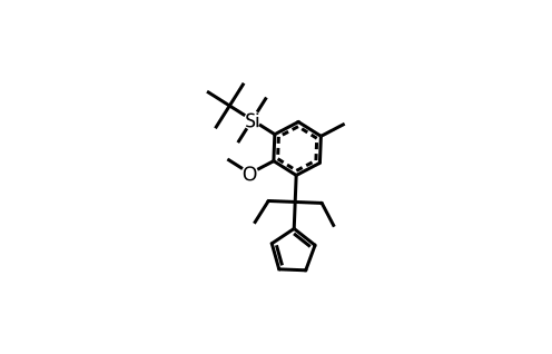 CCC(CC)(C1=CCC=C1)c1cc(C)cc([Si](C)(C)C(C)(C)C)c1OC